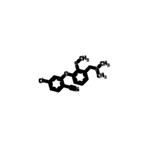 CSc1c(CN(C)C)cccc1Oc1cc(Cl)ccc1C#N